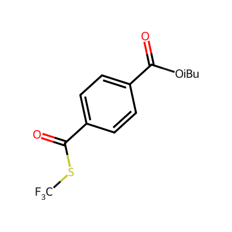 CC(C)COC(=O)c1ccc(C(=O)SC(F)(F)F)cc1